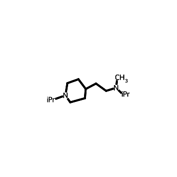 CC(C)N(C)CCC1CCN(C(C)C)CC1